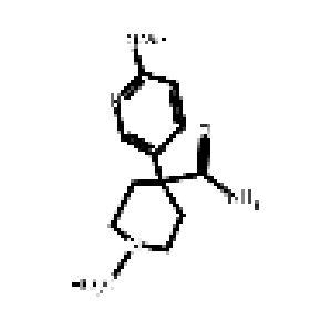 COc1ccc(C2(C(N)=O)CCN(C(=O)O)CC2)cn1